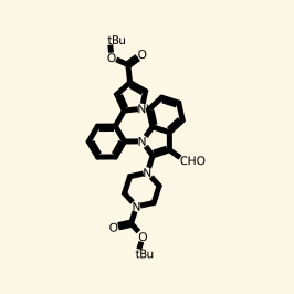 CC(C)(C)OC(=O)c1c[nH]c(-c2ccccc2-n2c(N3CCN(C(=O)OC(C)(C)C)CC3)c(C=O)c3ccccc32)c1